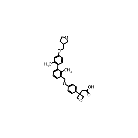 Cc1cc(OCC2CCOC2)ccc1-c1cccc(COc2ccc(C3(CC(=O)O)COC3)cc2)c1C